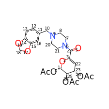 CC(=O)O[C@@H]1OC(C(=O)N2CCN(Cc3ccc4c(c3)OCO4)CC2)=C[C@H](OC(C)=O)[C@H]1OC(C)=O